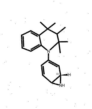 CC1C(C)(C)c2ccccc2N(C2=C[C@@H]3NC3C=C2)C1(C)C